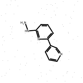 NNc1cccc(-c2cccnc2)n1